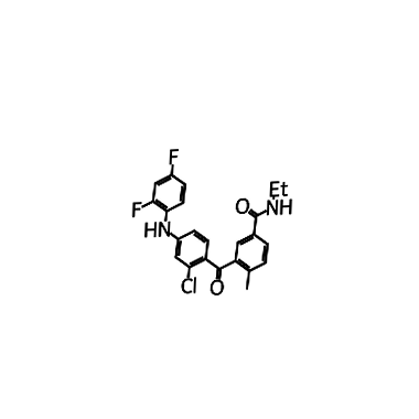 CCNC(=O)c1ccc(C)c(C(=O)c2ccc(Nc3ccc(F)cc3F)cc2Cl)c1